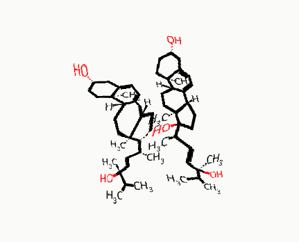 CC(C)[C@](C)(O)/C=C/[C@@H](C)[C@@]1(O)CC[C@H]2C3=CC=C4C[C@@H](O)CC[C@]4(C)[C@H]3CC[C@@]21C.CC(C)[C@](C)(O)/C=C/[C@@H](C)[C@H]1CC[C@H]2C3=CC=C4C[C@@H](O)CC[C@]4(C)[C@H]3CC[C@]12C